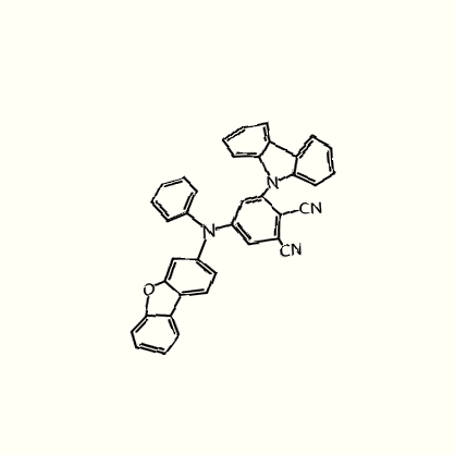 N#Cc1cc(N(c2ccccc2)c2ccc3c(c2)oc2ccccc23)cc(-n2c3ccccc3c3ccccc32)c1C#N